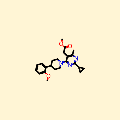 COC(=O)Cc1c(C)nc(C2CC2)nc1N1CCC(c2ccccc2OC)CC1